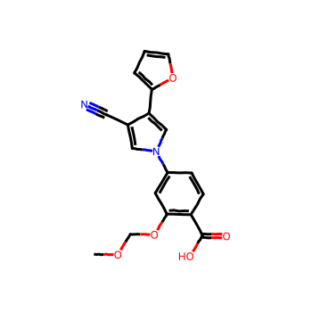 COCOc1cc(-n2cc(C#N)c(-c3ccco3)c2)ccc1C(=O)O